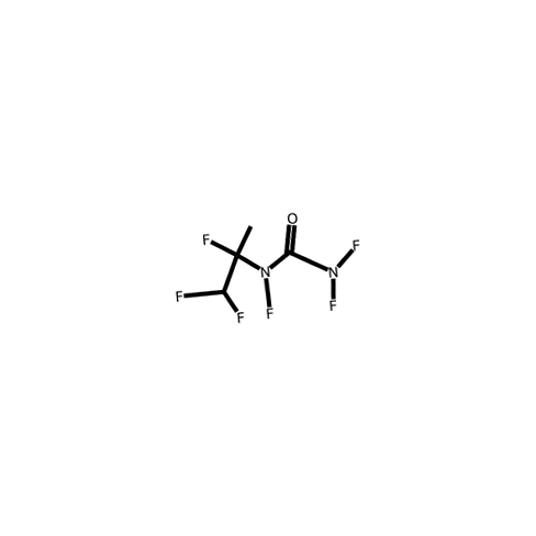 CC(F)(C(F)F)N(F)C(=O)N(F)F